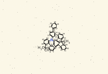 CC1(C)c2ccccc2-c2c(N(c3ccc(-c4ccccc4)cc3)c3ccc4c(c3)C(C)(c3ccccc3)c3ccccc3-4)cccc21